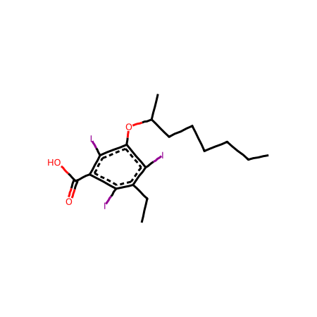 CCCCCCC(C)Oc1c(I)c(CC)c(I)c(C(=O)O)c1I